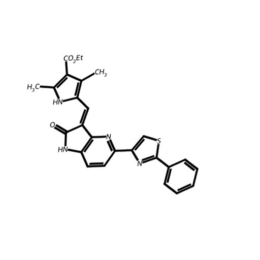 CCOC(=O)c1c(C)[nH]c(/C=C2\C(=O)Nc3ccc(-c4csc(-c5ccccc5)n4)nc32)c1C